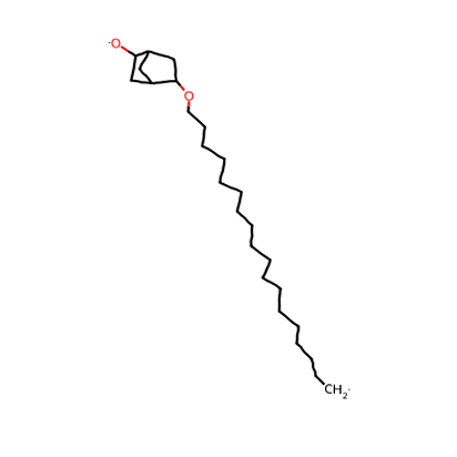 [CH2]CCCCCCCCCCCCCCCCCOC1CC2CC1CC2[O]